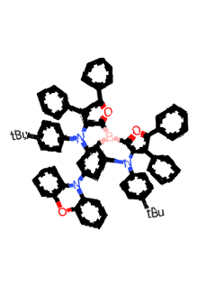 CC(C)(C)c1ccc(N2c3cc(N4c5ccccc5Oc5ccccc54)cc4c3B(c3oc(-c5ccccc5)c(-c5ccccc5)c32)c2oc(-c3ccccc3)c(-c3ccccc3)c2N4c2ccc(C(C)(C)C)cc2)cc1